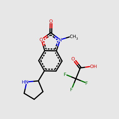 Cn1c(=O)oc2cc(C3CCCN3)ccc21.O=C(O)C(F)(F)F